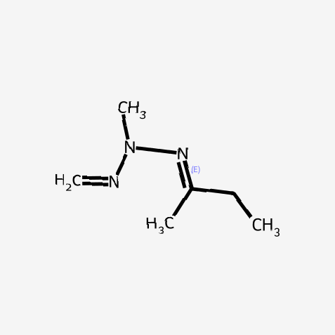 C=NN(C)/N=C(\C)CC